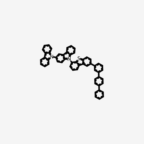 c1ccc(-c2ccc(-c3cccc(-c4ccc5sc6c(-n7c8ccccc8c8cc(-n9c%10ccccc%10c%10ccccc%109)ccc87)cccc6c5c4)c3)cc2)cc1